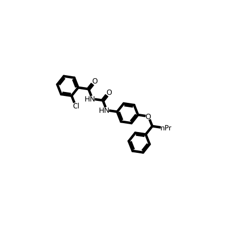 CCCC(Oc1ccc(NC(=O)NC(=O)c2ccccc2Cl)cc1)c1ccccc1